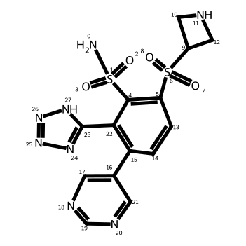 NS(=O)(=O)c1c(S(=O)(=O)C2CNC2)ccc(-c2cncnc2)c1-c1nnn[nH]1